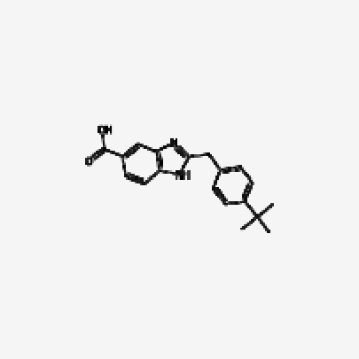 CC(C)(C)c1ccc(Cc2nc3cc(C(=O)O)ccc3[nH]2)cc1